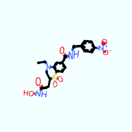 CCN1CC(CC(=O)NO)S(=O)(=O)c2ccc(C(=O)NCc3ccc([N+](=O)[O-])cc3)cc21